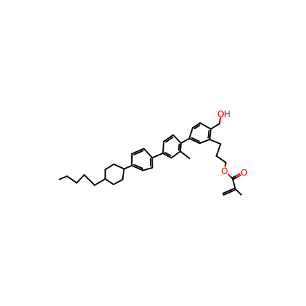 C=C(C)C(=O)OCCCc1cc(-c2ccc(-c3ccc(C4CCC(CCCCC)CC4)cc3)cc2C)ccc1CO